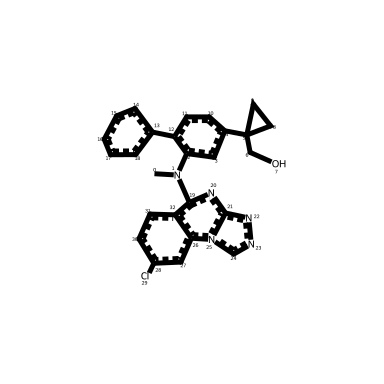 CN(c1cc(C2(CO)CC2)ccc1-c1ccccc1)c1nc2nncn2c2cc(Cl)ccc12